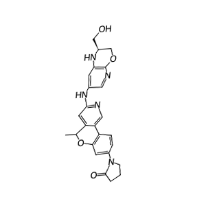 CC1Oc2cc(N3CCCC3=O)ccc2-c2cnc(Nc3cnc4c(c3)N[C@@H](CO)CO4)cc21